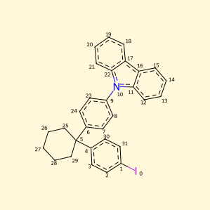 Ic1ccc(C2(c3ccc(-n4c5ccccc5c5ccccc54)cc3)CCCCC2)cc1